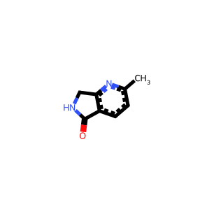 Cc1ccc2c(n1)CNC2=O